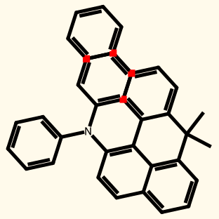 CC1(C)c2ccc(-c3ccccc3)cc2-c2c(N(c3ccccc3)c3ccccc3)ccc3cccc1c23